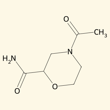 CC(=O)N1CCOC(C(N)=O)C1